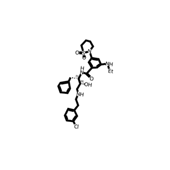 CCNc1cc(C(=O)N[C@@H](Cc2ccccc2)[C@H](O)CNCCc2cccc(Cl)c2)cc(N2CCCCS2(=O)=O)c1